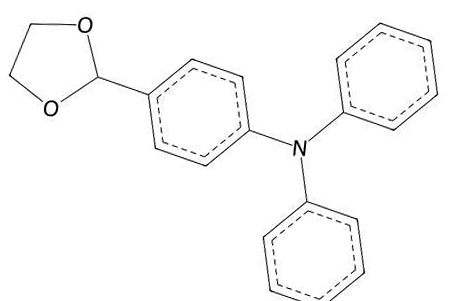 c1ccc(N(c2ccccc2)c2ccc(C3OCCO3)cc2)cc1